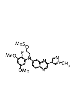 COc1cc(OC)c(F)c(N(CCOSC)c2ccc3ncc(-c4cnn(C)c4)nc3c2)c1